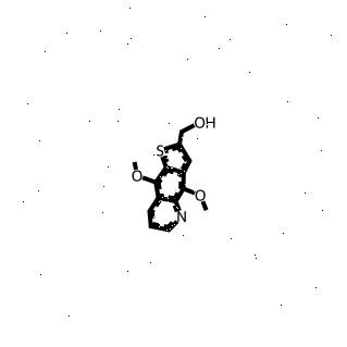 COc1c2cc(CO)sc2c(OC)c2cccnc12